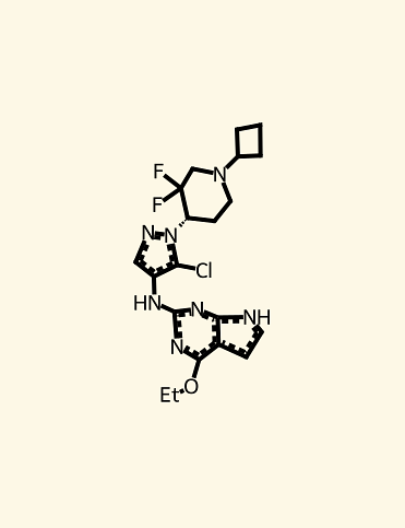 CCOc1nc(Nc2cnn([C@H]3CCN(C4CCC4)CC3(F)F)c2Cl)nc2[nH]ccc12